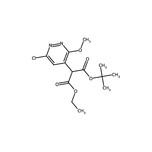 CCOC(=O)C(C(=O)OC(C)(C)C)c1cc(Cl)nnc1OC